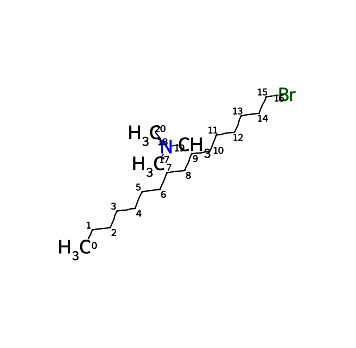 CCCCCCCCCCCCCCCCBr.CN(C)C